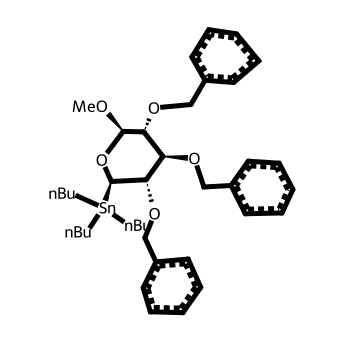 CCC[CH2][Sn]([CH2]CCC)([CH2]CCC)[C@H]1O[C@@H](OC)[C@H](OCc2ccccc2)[C@@H](OCc2ccccc2)[C@@H]1OCc1ccccc1